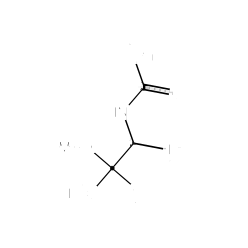 COC(C)(C)C(NC(=O)C(C)(C)C)C(C)C